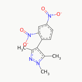 Cc1nn(C)c(C)c1-c1ccc([N+](=O)[O-])cc1[N+](=O)[O-]